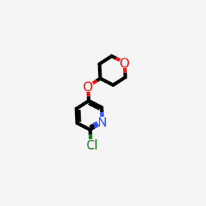 Clc1ccc(OC2CCOCC2)cn1